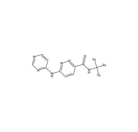 [2H]C([2H])([2H])NC(=O)c1ccc(Nc2ccncn2)nn1